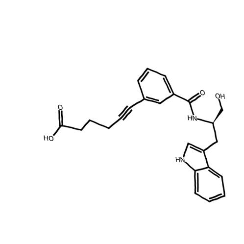 O=C(O)CCCC#Cc1cccc(C(=O)N[C@@H](CO)Cc2c[nH]c3ccccc23)c1